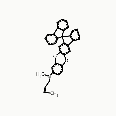 C/C=C\CN(C)c1ccc2c(c1)Oc1cc3c(cc1O2)-c1ccccc1C31c2ccccc2-c2ccccc21